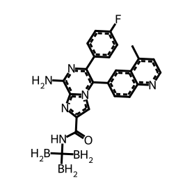 BC(B)(B)NC(=O)c1cn2c(-c3ccc4nccc(C)c4c3)c(-c3ccc(F)cc3)nc(N)c2n1